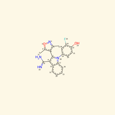 Cc1noc(C)c1-c1c(C(=N)N)c2ccccc2n1-c1ccc(O)c(F)c1